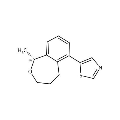 C[C@H]1OCCCc2c(-c3cncs3)cccc21